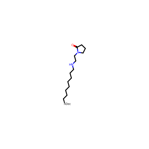 CCCCCCCCCCCCCCCCCCNCCN1CCCC1=O